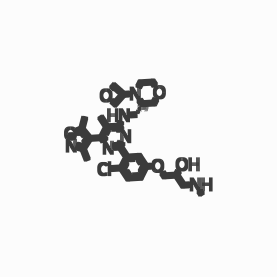 CNCC(O)COc1ccc(Cl)c(-c2nc(NC[C@H]3COCCN3C3COC3)c(C)c(-c3c(C)noc3C)n2)c1